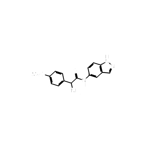 COc1ccc(C(N)C(=O)Nc2ccc3[nH]ncc3c2)cc1